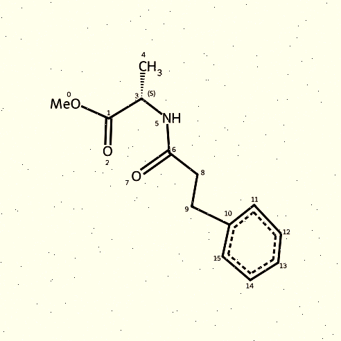 COC(=O)[C@H](C)NC(=O)CCc1ccccc1